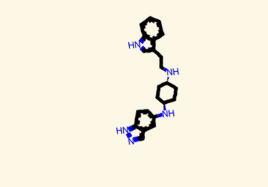 c1ccc2c(CCN[C@H]3CC[C@H](Nc4ccc5[nH]ncc5c4)CC3)c[nH]c2c1